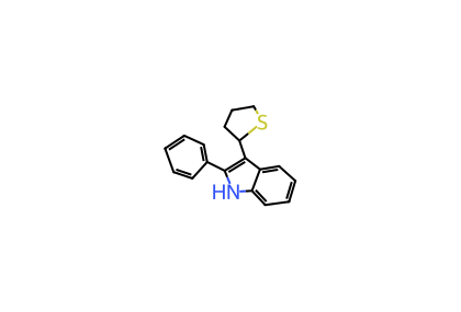 c1ccc(-c2[nH]c3ccccc3c2C2CCCS2)cc1